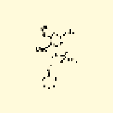 C=Nc1cc(C(C)(C)C)cc(N(CCOC2CCCCO2)S(C)(=O)=O)c1OC